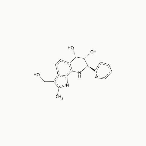 Cc1nc2c3c(ccn2c1CO)[C@H](O)[C@H](O)[C@@H](c1ccccc1)N3